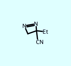 CCC1(C#N)CN=N1